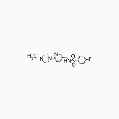 CCN1CCN(c2ccc(CNS(=O)(=O)c3ccc(F)cc3)cn2)CC1